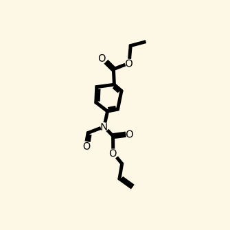 C=CCOC(=O)N(C=O)c1ccc(C(=O)OCC)cc1